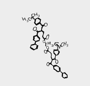 CN(C)c1ccc(C(=O)C(CCC(=O)OCCOC(=O)CCC(C(=O)c2ccc(-c3ccccc3)cc2)C(=O)c2ccc(N(C)C)cc2)C(=O)c2ccc(-c3ccccc3)cc2)cc1